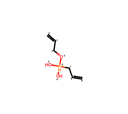 C=CCO[PH](O)(O)CC=C